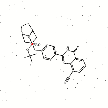 CC(C)(C)OC(=O)N1C2CCC1CN(Cc1ccc(-c3cc4c(C#N)cccc4c(=O)[nH]3)cc1)C2